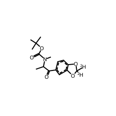 [2H]C1([2H])Oc2ccc(C(=O)C(C)N(C)C(=O)OC(C)(C)C)cc2O1